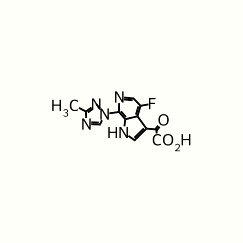 Cc1ncn(-c2ncc(F)c3c(C(=O)C(=O)O)c[nH]c23)n1